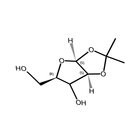 CC1(C)O[C@@H]2O[C@H](CO)C(O)[C@@H]2O1